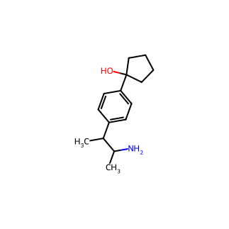 CC(N)C(C)c1ccc(C2(O)CCCC2)cc1